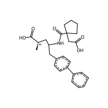 C[C@H](CC(Cc1ccc(-c2ccccc2)cc1)NC(=O)C1(CC(=O)O)CCCC1)C(=O)O